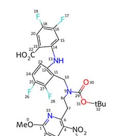 COc1ccc([N+](=O)[O-])c(CCN(Cc2c(Nc3cc(F)c(F)cc3C(=O)O)ccc(F)c2F)C(=O)OC(C)(C)C)n1